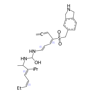 C=C=C/C(=C\C=C\NC(O)NC(C)/C(=C/C=C\CC)C(C)C)S(=O)(=O)Cc1ccc2c(c1)CNC2